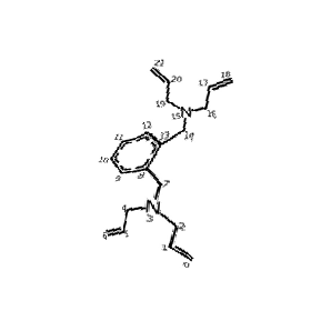 C=CCN(CC=C)Cc1ccccc1CN(CC=C)CC=C